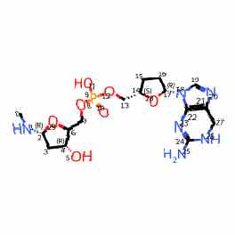 CN[C@H]1C[C@@H](O)C(COP(=O)(O)OC[C@@H]2CC[C@H](n3cnc4c3N=C(N)NC4)O2)O1